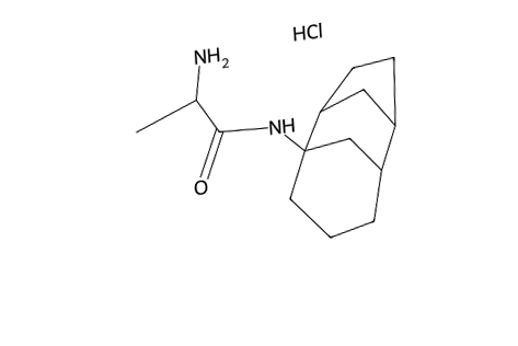 CC(N)C(=O)NC12CCCC(C1)C1CCC2C1.Cl